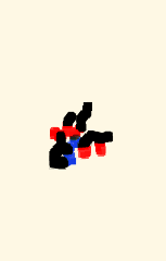 CCCCON(C(=O)CC(C)=O)c1ncccc1C(=O)OCC